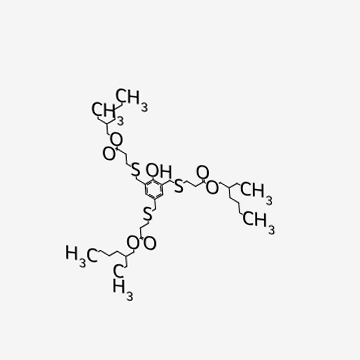 CCCCC(CC)COC(=O)CCSCc1cc(CSCCC(=O)OCC(CC)CCCC)c(O)c(CSCCC(=O)OCC(CC)CCCC)c1